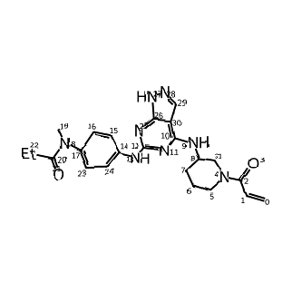 C=CC(=O)N1CCCC(Nc2nc(Nc3ccc(N(C)C(=O)CC)cc3)nc3[nH]ncc23)C1